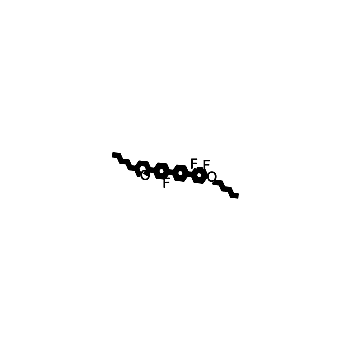 CCCCCCOc1ccc(-c2ccc(-c3ccc(C4CCC(CCCCC)CO4)cc3F)cc2)c(F)c1F